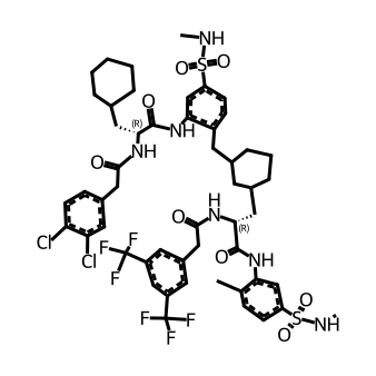 CNS(=O)(=O)c1ccc(C)c(NC(=O)[C@@H](CC2CCCC(Cc3ccc(S(=O)(=O)NC)cc3NC(=O)[C@@H](CC3CCCCC3)NC(=O)Cc3ccc(Cl)c(Cl)c3)C2)NC(=O)Cc2cc(C(F)(F)F)cc(C(F)(F)F)c2)c1